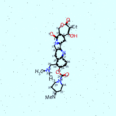 CCC1=C(O)c2cc3n(c(=O)c2COC1=O)Cc1cc2c(CN(C)C)c(OC(=O)N4CCC(NC)CC4)ccc2nc1-3